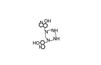 Oc1ccc(CN2CCCN(Cc3ccc(O)c4ncccc34)CCNCCCNCC2)c2cccnc12